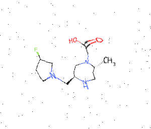 C[C@@H]1CN[C@@H](CN2CC[C@@H](F)C2)CN1C(=O)O